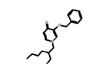 CCCCC(CC)Cn1ccc(=O)c(OCc2ccccc2)c1